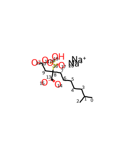 CC(C)CCCCCC(CC(=O)[O-])(C(=O)[O-])S(=O)(=O)O.[Na+].[Na+]